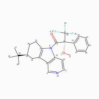 CO[C@@](C(=O)n1c2c(c3cnccc31)C[C@@H](C(C)(C)C)CC2)(c1ccccc1)C(F)(F)F